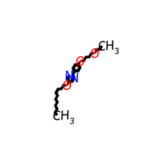 CCCCCCC/C=C\CCOc1cnc(-c2ccc(OCCCCOCCC)cc2)nc1